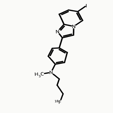 CN(CCC[18F])c1ccc(-c2cn3cc(I)ccc3n2)cc1